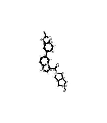 Cc1nc2cc(-c3ccc4ncc(C(=O)N5CC6CN(C)CC6C5)n4c3)ccc2o1